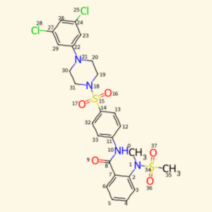 CN(c1ccccc1C(=O)Nc1ccc(S(=O)(=O)N2CCN(c3cc(Cl)cc(Cl)c3)CC2)cc1)S(C)(=O)=O